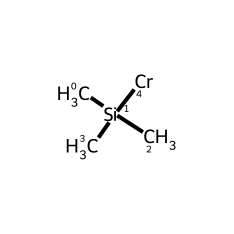 C[Si](C)(C)[Cr]